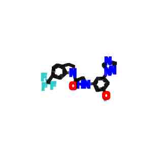 COc1cc(NCC(=O)N2CCc3ccc(C(F)(F)F)cc32)cc(-n2cncn2)c1